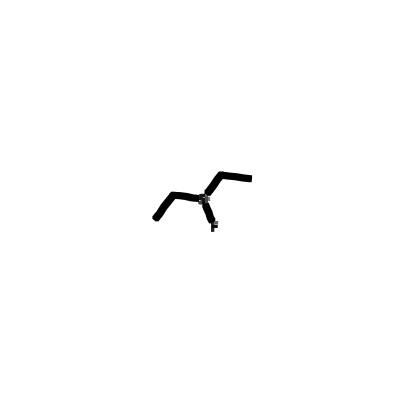 CC[Si](F)CC